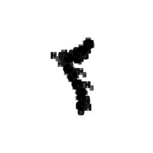 COc1ncc(-c2ccnc(N3CCc4c(sc5c4CCCC5)C3=O)c2[C@H](C)O)cc1Nc1ccc(N2CCN(C3CCN(c4ccc5c(c4)CN([C@H]4CCC(=O)NC4=O)C5=O)[C@@H](C)C3)C[C@@H]2C)cn1